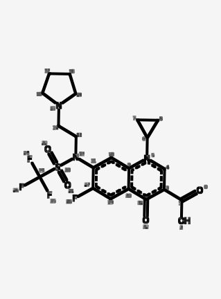 O=C(O)c1cn(C2CC2)c2cc(N(CCN3CCCC3)S(=O)(=O)C(F)(F)F)c(F)cc2c1=O